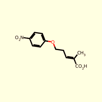 CC(=CCCOc1ccc([N+](=O)[O-])cc1)C(=O)O